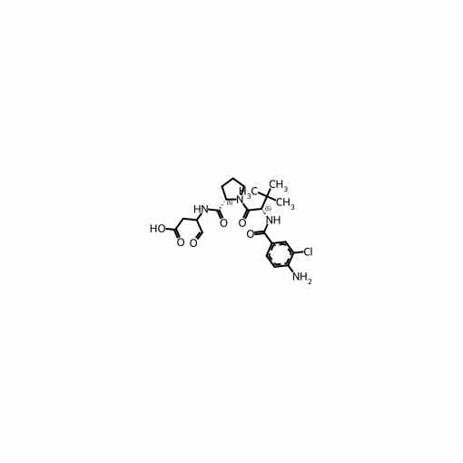 CC(C)(C)[C@H](NC(=O)c1ccc(N)c(Cl)c1)C(=O)N1CCC[C@H]1C(=O)NC(C=O)CC(=O)O